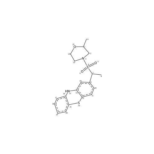 CC1CN(S(=O)(=O)C(C)c2ccc3c(c2)Nc2ccccc2S3)CCO1